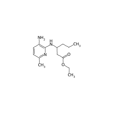 CCCC(CC(=O)OCC)Nc1nc(C)ccc1N